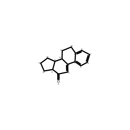 O=C1C=C2c3ccccc3CCC2C2CCCC12